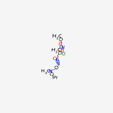 Cc1ccc(COc2ccc(Oc3c(C)cc(/C=C/C(=O)N4CCN(Cc5ccc(CCN(C)c6ccc(C(C)C)cc6)cc5)CC4)cc3Cl)nc2)cc1